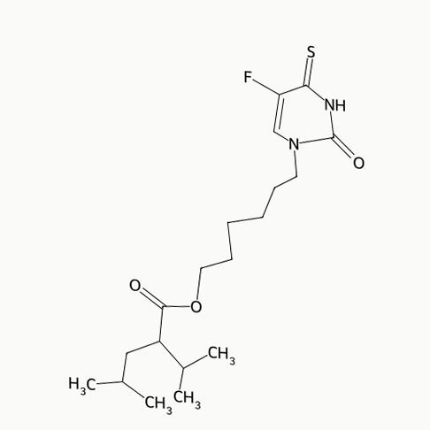 CC(C)CC(C(=O)OCCCCCCn1cc(F)c(=S)[nH]c1=O)C(C)C